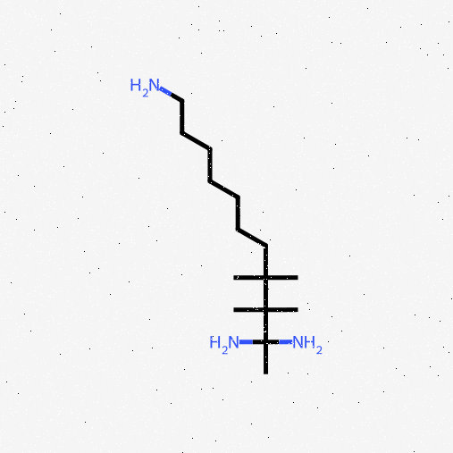 CC(N)(N)C(C)(C)C(C)(C)CCCCCCCN